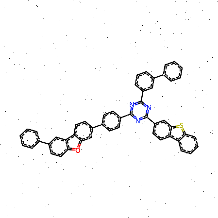 c1ccc(-c2cccc(-c3nc(-c4ccc(-c5ccc6c(c5)oc5ccc(-c7ccccc7)cc56)cc4)nc(-c4ccc5c(c4)sc4ccccc45)n3)c2)cc1